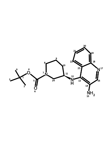 CC(C)(C)OC(=O)N1CCC[C@@H](Nc2c(N)cnc3ccccc23)C1